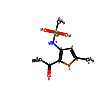 COC(=O)c1sc(C)cc1NS(C)(=O)=O